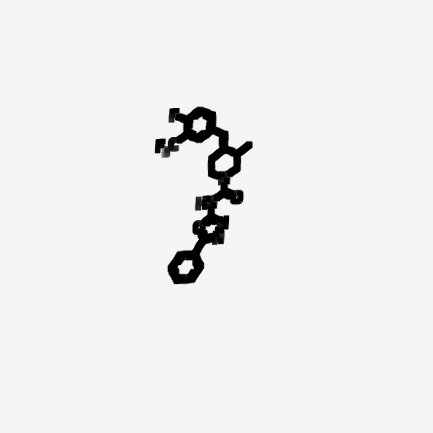 CC1CN(C(=O)Nc2nnc(-c3ccccc3)o2)CCC1=Cc1ccc(F)c(C(F)(F)F)c1